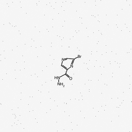 NNC(=O)c1cncc(Br)n1